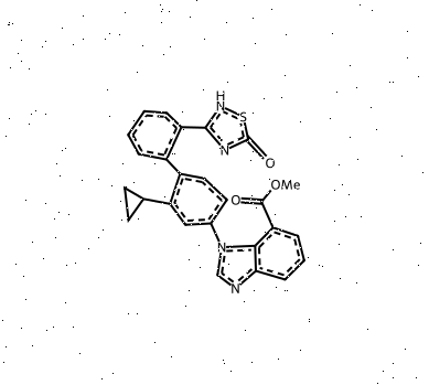 COC(=O)c1cccc2ncn(-c3ccc(-c4ccccc4-c4nc(=O)s[nH]4)c(C4CC4)c3)c12